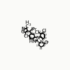 Cc1noc(C)c1C(c1ccc2[nH]c([C@@H]3CCCC(=O)N3c3ccc(Cl)c(Cl)c3)nc2c1)C(C)C